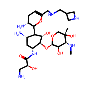 CN[C@@H]1[C@@H](O)[C@@H](O[C@@H]2[C@@H](O)[C@H](C3OC(CNCC4CNC4)=CC[C@H]3N)[C@@H](N)C[C@H]2NC(=O)[C@@H](O)CN)OC[C@]1(C)O